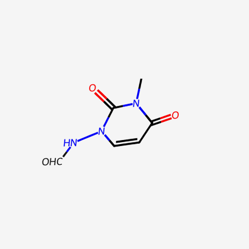 Cn1c(=O)ccn(NC=O)c1=O